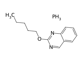 CCCCCOc1ncc2ccccc2n1.P